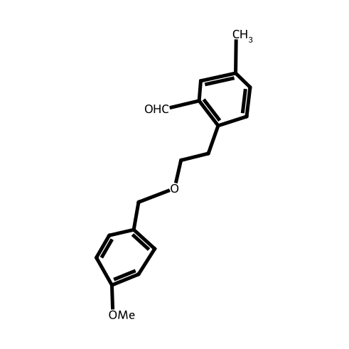 COc1ccc(COCCc2ccc(C)cc2C=O)cc1